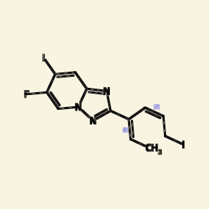 C/C=C(\C=C/CI)c1nc2cc(I)c(F)cn2n1